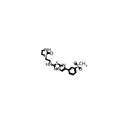 CS(=O)(=O)c1cccc(-c2cn3nc(NCCN4CCNC4=O)sc3n2)c1